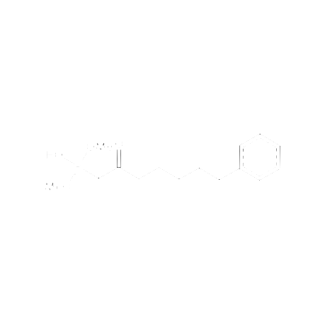 CO[PH](O)(CC(=O)CCCCCc1ccccc1)OC